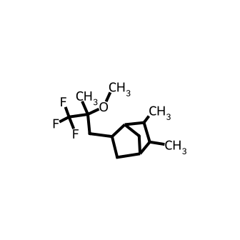 COC(C)(CC1CC2CC1C(C)C2C)C(F)(F)F